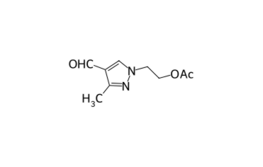 CC(=O)OCCn1cc(C=O)c(C)n1